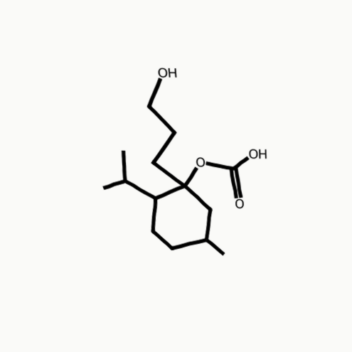 CC1CCC(C(C)C)C(CCCO)(OC(=O)O)C1